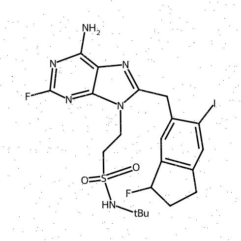 CC(C)(C)NS(=O)(=O)CCn1c(Cc2cc3c(cc2I)CCC3F)nc2c(N)nc(F)nc21